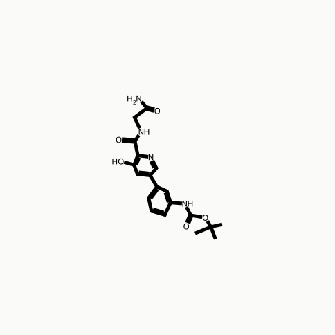 CC(C)(C)OC(=O)Nc1cccc(-c2cnc(C(=O)NCC(N)=O)c(O)c2)c1